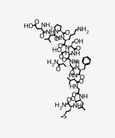 CSCC[C@H](NC(=O)[C@H](CC(C)C)NC(=O)CNC(=O)[C@@H](NC(=O)[C@H](Cc1ccccc1)NC(=O)[C@H](CCC(N)=O)NC(=O)[C@H](CC(=O)O)NC(=O)[C@H](CO)NC(=O)[C@H](CCCCN)NC(=O)[C@@H]1CCCN1C(=O)[C@@H](NC(=O)[C@@H](N)CC(=O)O)C(C)C)C(C)C)C(N)=O